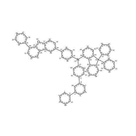 c1ccc(-c2cccc(-c3ccc(N(c4ccc(-c5ccc6oc7c(-c8ccccc8)cccc7c6c5)cc4)c4cccc5c4-c4ccccc4C5(c4ccccc4)c4ccccc4)cc3)c2)cc1